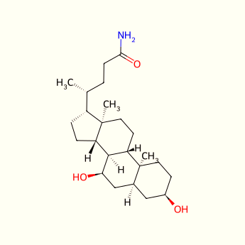 C[C@H](CCC(N)=O)[C@H]1CC[C@H]2[C@@H]3[C@H](O)C[C@@H]4C[C@H](O)CC[C@]4(C)[C@H]3CC[C@]12C